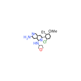 CCc1c(OC)ccc(Cl)c1-c1cc2cnc(N)cc2c(NC2CCOC2)n1